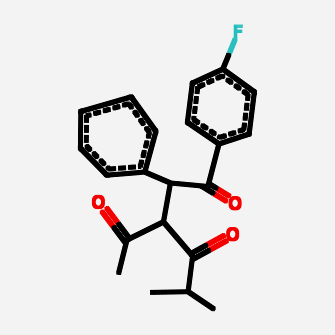 CC(=O)C(C(=O)C(C)C)C(C(=O)c1ccc(F)cc1)c1ccccc1